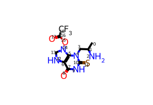 CC(N)Cn1c2c(c(=O)[nH]c1=S)NCN2OC(=O)C(F)(F)F